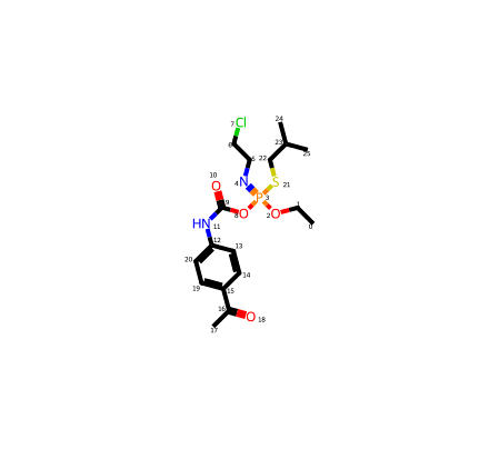 CCOP(=NCCCl)(OC(=O)Nc1ccc(C(C)=O)cc1)SCC(C)C